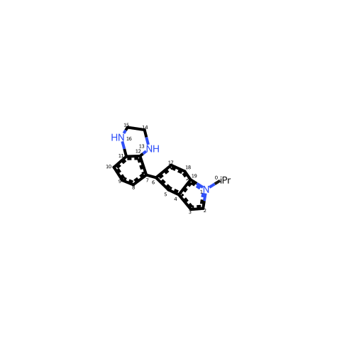 CC(C)n1ccc2cc(-c3cccc4c3NCCN4)ccc21